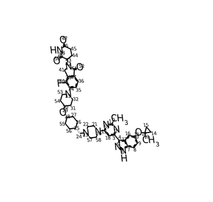 Cc1nc(-c2n[nH]c3ccc(OC4(C)CC4)cc23)cc(N2CCN(C[C@H]3CC[C@H](OC4CCN(c5ccc6c(c5F)CN(C5CCC(=O)NC5=O)C6=O)CC4)CC3)CC2)n1